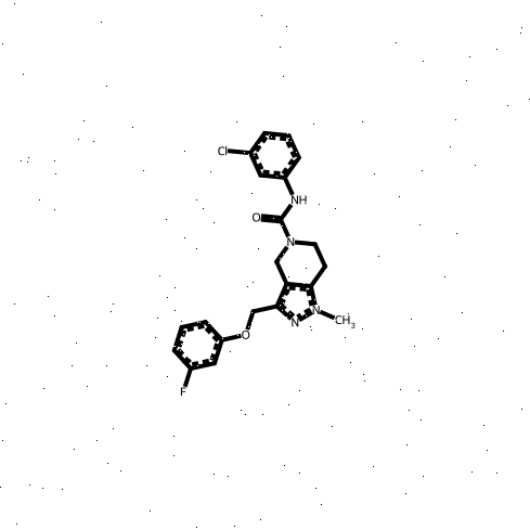 Cn1nc(COc2cccc(F)c2)c2c1CCN(C(=O)Nc1cccc(Cl)c1)C2